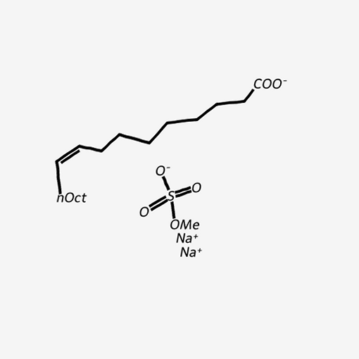 CCCCCCCC/C=C\CCCCCCCC(=O)[O-].COS(=O)(=O)[O-].[Na+].[Na+]